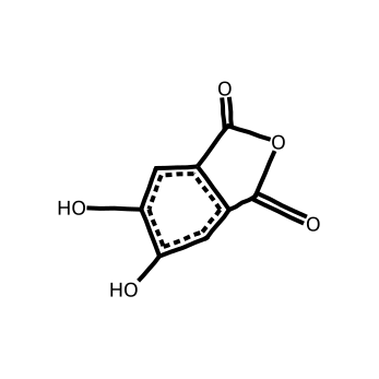 O=C1OC(=O)c2cc(O)c(O)cc21